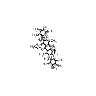 C=CCOC(c1c(C)c(N)c(Oc2c(C)c(N)c(N)c(N)c2C)c(N)c1C)c1c(N)c(C)c(Oc2c(N)c(C)c(N)c(N)c2N)c(N)c1N